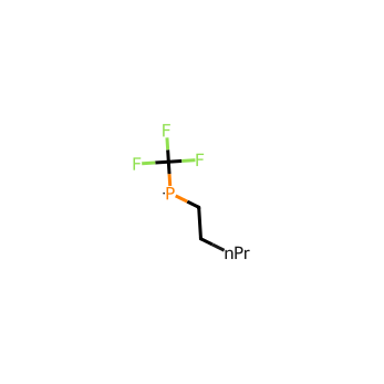 CCCCC[P]C(F)(F)F